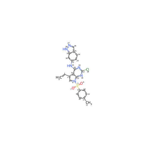 C=Cc1cn(S(=O)(=O)c2ccc(C)cc2)c2nc(Cl)nc(Nc3ccc4cn[nH]c4c3)c12